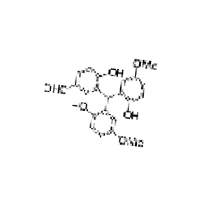 COc1ccc(O)c(C(c2cc(C=O)ccc2O)c2cc(OC)ccc2O)c1